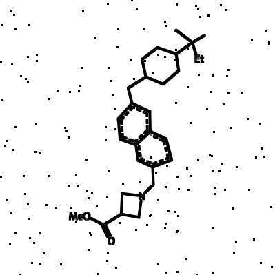 CCC(C)(C)C1CCC(Cc2ccc3cc(CN4CC(C(=O)OC)C4)ccc3c2)CC1